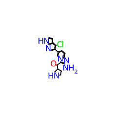 Nc1nc2ccc(-c3cnc4[nH]ccc4c3Cl)cn2c1C(=O)C1CCNC1